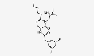 CCCC[C@H](N)C(=O)N(CCN(C)C)C(=O)[C@H](C)NC(=O)Cc1cc(F)cc(F)c1